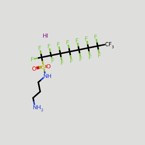 I.NCCCNS(=O)(=O)C(F)(F)C(F)(F)C(F)(F)C(F)(F)C(F)(F)C(F)(F)C(F)(F)C(F)(F)F